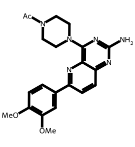 COc1ccc(-c2ccc3nc(N)nc(N4CCN(C(C)=O)CC4)c3n2)cc1OC